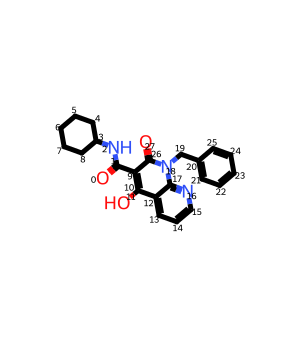 O=C(NC1CCCCC1)c1c(O)c2cccnc2n(Cc2ccccc2)c1=O